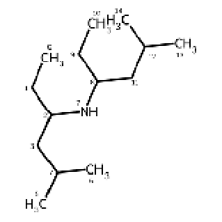 CCC(CC(C)C)NC(CC)CC(C)C